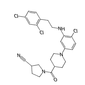 N#CC1CCN(C(=O)C2CCN(c3ccc(Cl)c(NCCc4ccc(Cl)cc4Cl)c3)CC2)C1